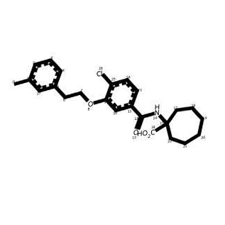 Cc1cccc(CCOc2cc(C(=O)NC3(C(=O)O)CCCCCC3)ccc2Cl)c1